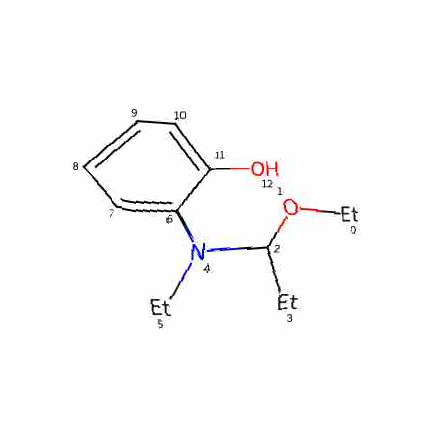 CCOC(CC)N(CC)c1ccccc1O